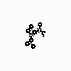 C=C/C=C(\C=C)c1nc(-c2ccccc2)nc(-c2cccc(-n3c4ccccc4c4cccc(-c5nnc(-c6ccc7c(c6)c6ccccc6n7-c6ccccc6)s5)c43)c2)n1